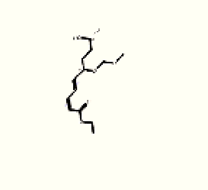 CCOC(=O)/C=C\C=C\[C@@H](CC[C@@H](C)O)OCOC